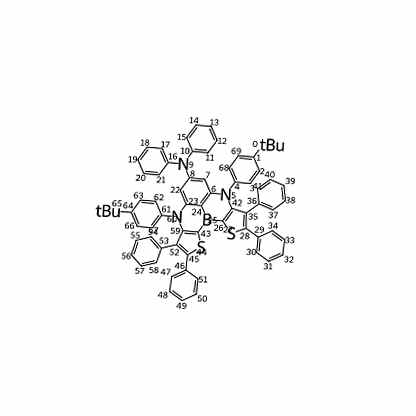 CC(C)(C)c1ccc(N2c3cc(N(c4ccccc4)c4ccccc4)cc4c3B(c3sc(-c5ccccc5)c(-c5ccccc5)c32)c2sc(-c3ccccc3)c(-c3ccccc3)c2N4c2ccc(C(C)(C)C)cc2)cc1